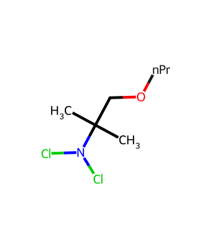 CCCOCC(C)(C)N(Cl)Cl